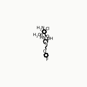 COc1cc(N)c(Cl)cc1C(=O)N[C@@H]1CCN(CCCOc2ccc(F)cc2)C[C@@H]1O